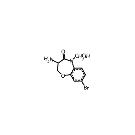 CN1C(=O)C(N)COc2cc(Br)ccc21.Cl